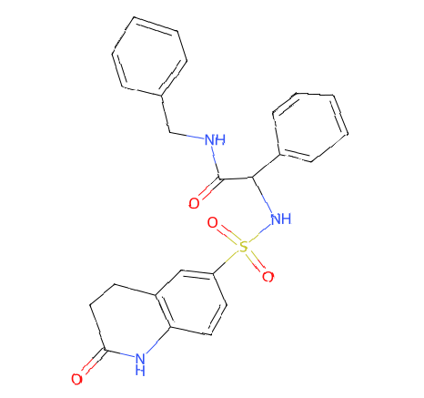 O=C1CCc2cc(S(=O)(=O)NC(C(=O)NCc3ccccc3)c3ccccc3)ccc2N1